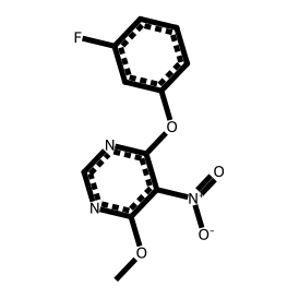 COc1ncnc(Oc2cccc(F)c2)c1[N+](=O)[O-]